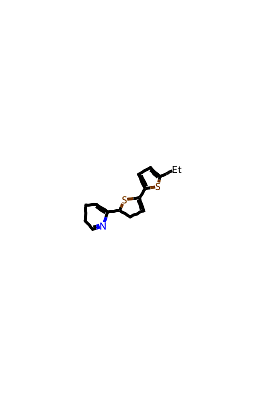 CCc1ccc(C2=CCC(C3=CCCC=N3)S2)s1